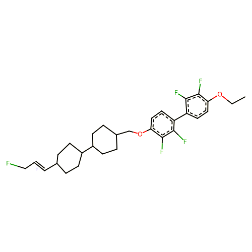 CCOc1ccc(-c2ccc(OCC3CCC(C4CCC(/C=C/CF)CC4)CC3)c(F)c2F)c(F)c1F